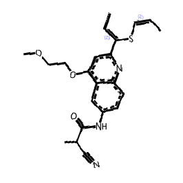 C/C=C\S/C(=C\C)c1cc(OCCOC)c2cc(NC(=O)C(C)C#N)ccc2n1